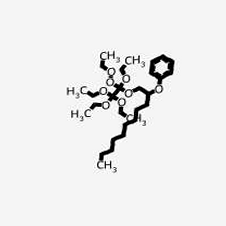 CCCCCCCCCC(COC(OCC)(OOCC)C(OCC)(OCC)OCC)Oc1ccccc1